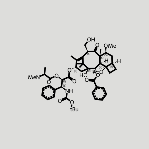 CNC(C)C(=O)O[C@@H](C(=O)O[C@H]1C[C@@]2(O)[C@@H](OC(=O)c3ccccc3)[C@@H]3[C@]4(OC(C)=O)CC[C@@H]4C[C@H](OC)[C@@]3(C)C(=O)[C@H](CO)C(=C1C)C2(C)C)[C@@H](NC(=O)OC(C)(C)C)c1ccccc1